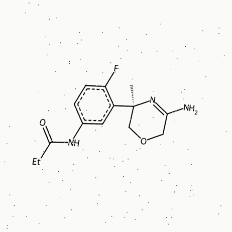 CCC(=O)Nc1ccc(F)c([C@]2(C)COCC(N)=N2)c1